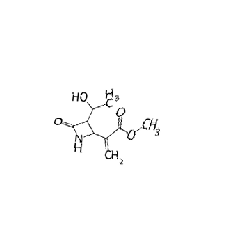 C=C(C(=O)OC)C1NC(=O)C1C(C)O